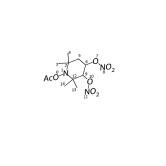 CC(=O)ON1C(C)(C)CC(O[N+](=O)[O-])C(O[N+](=O)[O-])C1(C)C